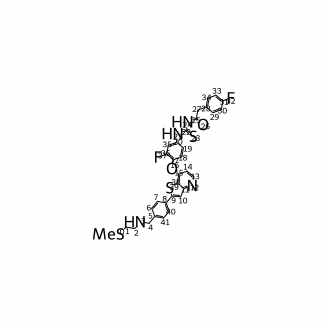 CSCCNCc1ccc(-c2cc3nccc(Oc4ccc(NC(=S)NC(=O)Cc5ccc(F)cc5)cc4F)c3s2)cc1